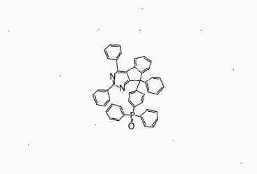 O=P(c1ccccc1)(c1ccccc1)c1ccc(C2(c3ccccc3)c3ccccc3-c3c(-c4ccccc4)nc(-c4ccccc4)nc32)cc1